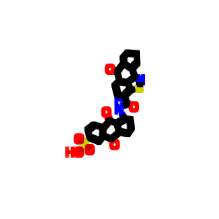 O=C1c2cc(S(=O)(=O)O)ccc2C(=O)c2c(NC(=O)c3ccc4c5c(nsc35)-c3ccccc3C4=O)cccc21